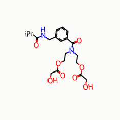 CC(C)C(=O)NCc1cccc(C(=O)N(CCOC(=O)CO)CCOC(=O)CO)c1